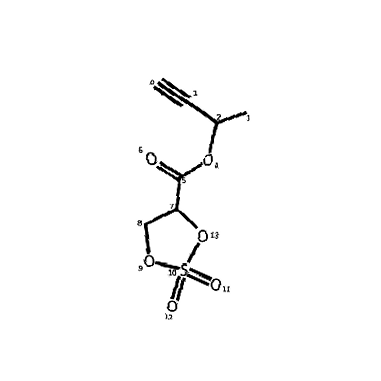 C#CC(C)OC(=O)C1COS(=O)(=O)O1